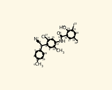 Cc1ccc(C(C#N)c2cc(C)c(NC(=O)c3cc(I)cc(I)c3O)cc2Cl)cc1